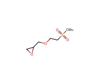 CC(C)COS(=O)(=O)CCOCC1CO1